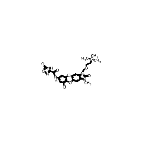 Cn1c(=O)n(COCC[Si](C)(C)C)c2ccc(Oc3c(Cl)cc(NC(=O)c4noc(=O)[nH]4)cc3Cl)cc21